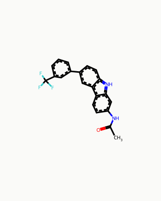 CC(=O)Nc1ccc2c(c1)[nH]c1ccc(-c3cccc(C(F)(F)F)c3)cc12